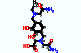 CCN(CC(N)=O)Cc1ccc(CN(CC(N)=O)CC(=O)O)c(O)c1O